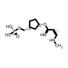 CN/C=C\C(=N)O[C@H]1CC[C@@H](CO[P@](=O)(O)S)C1